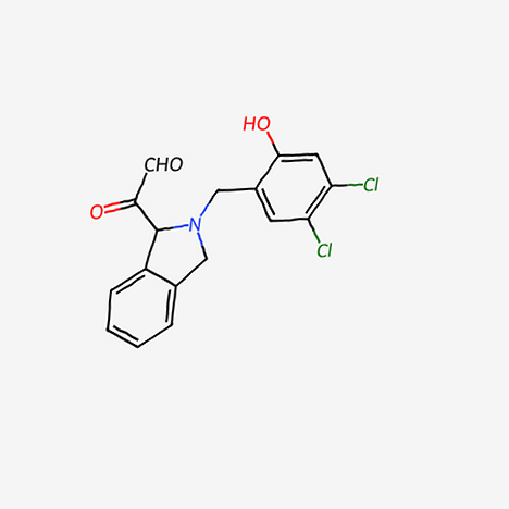 O=CC(=O)C1c2ccccc2CN1Cc1cc(Cl)c(Cl)cc1O